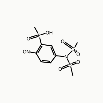 CP(=O)(O)c1cc(N(S(C)(=O)=O)S(C)(=O)=O)ccc1N=O